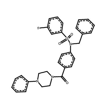 O=C(c1ccc(N(Cc2ccccc2)S(=O)(=O)c2cccc(F)c2)cc1)N1CCN(c2ccccc2)CC1